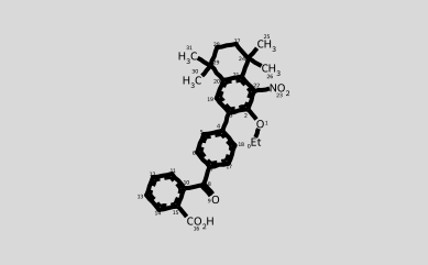 CCOc1c(-c2ccc(C(=O)c3ccccc3C(=O)O)cc2)cc2c(c1[N+](=O)[O-])C(C)(C)CCC2(C)C